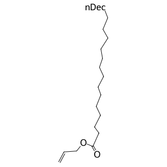 C=CCOC(=O)CCCCCCCCCCCCCCCCCCCCCCC